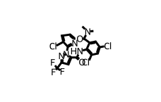 CN(C)C(=O)c1cc(Cl)cc(Cl)c1NC(=O)c1cc(C(F)(F)F)nn1-c1ncccc1Cl